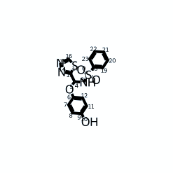 O=S(=O)(NC(Oc1ccc(O)cc1)c1nncs1)c1ccccc1